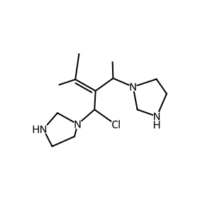 CC(C)=C(C(C)N1CCNC1)C(Cl)N1CCNC1